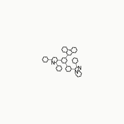 c1ccc(-c2ccc(-c3cc(-c4cccc(-c5c(-c6ccccc6)nc6ccccn56)c4)cc(-c4cc5ccccc5c5ccccc45)c3)c(-c3ccccc3)n2)cc1